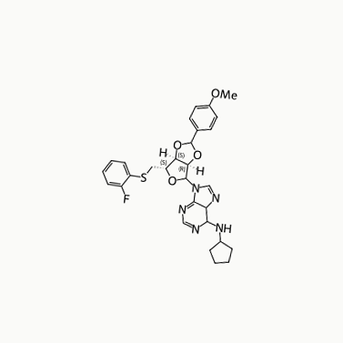 COc1ccc(C2O[C@@H]3[C@@H](CSc4ccccc4F)OC(N4C=NC5C4=NC=NC5NC4CCCC4)[C@@H]3O2)cc1